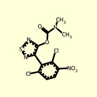 CN(C)C(=O)Oc1nsnc1-c1c(Cl)ccc([N+](=O)[O-])c1Cl